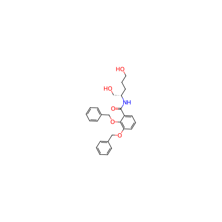 O=C(N[C@H](CO)CCCO)c1cccc(OCc2ccccc2)c1OCc1ccccc1